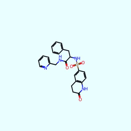 O=C1CCc2cc(S(=O)(=O)NC(Cc3ccccc3)C(=O)NCc3ccccn3)ccc2N1